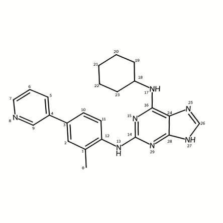 Cc1cc(-c2cccnc2)ccc1Nc1nc(NC2CCCCC2)c2nc[nH]c2n1